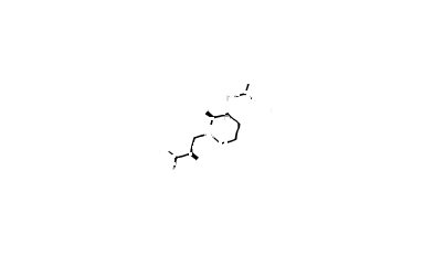 CC(C)N[C@@H]1CCCN(CC(=O)C(C)C)C1=O